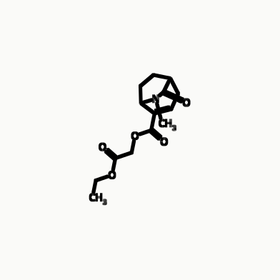 CCOC(=O)COC(=O)C1=CCC2CCC1N(C)C2=O